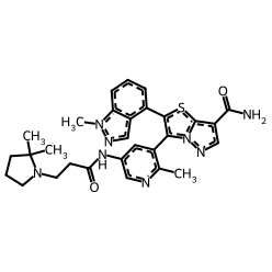 Cc1ncc(NC(=O)CCN2CCCC2(C)C)cc1-c1c(-c2cccc3c2cnn3C)sc2c(C(N)=O)cnn12